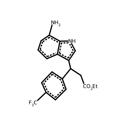 CCOC(=O)CC(c1ccc(C(F)(F)F)cc1)c1c[nH]c2c(N)cccc12